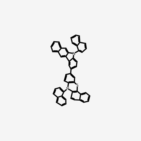 c1ccc2cc3c(cc2c1)c1cc(-c2ccc4c(c2)Sc2c(ccc5ccccc25)N4c2cccc4ccccc24)ccc1n3-c1cccc2ccccc12